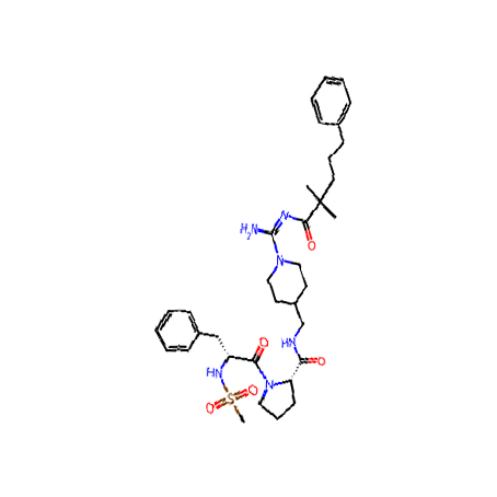 CC(C)(CCCc1ccccc1)C(=O)/N=C(/N)N1CCC(CNC(=O)[C@@H]2CCCN2C(=O)[C@@H](Cc2ccccc2)NS(C)(=O)=O)CC1